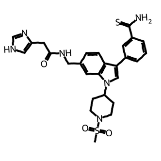 CS(=O)(=O)N1CCC(n2cc(-c3cccc(C(N)=S)c3)c3ccc(CNC(=O)Cc4c[nH]cn4)cc32)CC1